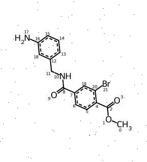 COC(=O)c1ccc(C(=O)NCc2cccc(N)c2)cc1Br